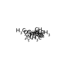 COCC1CCCN1C(=O)NCC(C)(C)CC(C)(C)OC